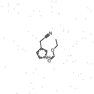 CCOC=O.N#CCc1cc[nH]c1